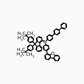 CC(C)(C)c1ccc(C2(c3ccc(C(C)(C)C)cc3)c3ccccc3-c3c(N(c4ccc(-c5ccc(-c6ccccc6)cc5)cc4)c4ccc(-c5cccc6c5oc5ccccc56)cc4)cccc32)cc1